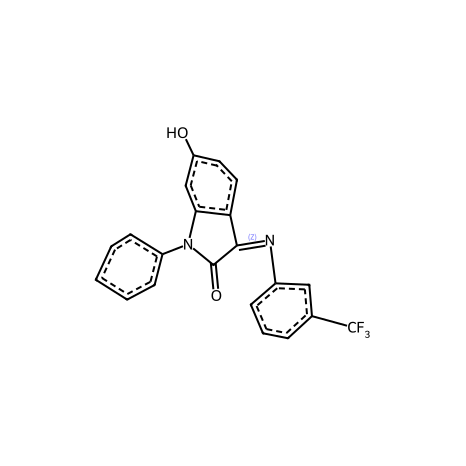 O=C1/C(=N\c2cccc(C(F)(F)F)c2)c2ccc(O)cc2N1c1ccccc1